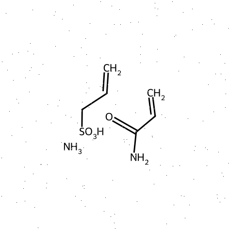 C=CC(N)=O.C=CCS(=O)(=O)O.N